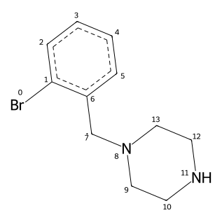 Brc1ccccc1[CH]N1CCNCC1